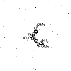 COCCOc1cccc(OP(=O)(OC[C@@H]2C=C[C@H](n3cnc4c(OC)nc(N)nc43)C2)N(C(C)C)[C@@H](C)C(=O)O)c1